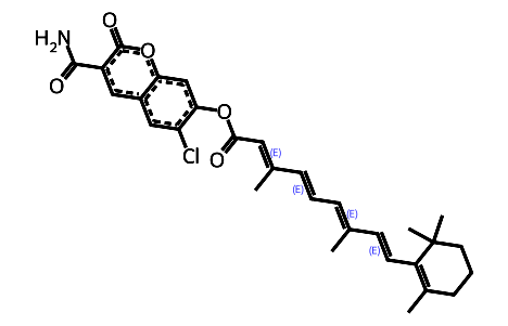 CC1=C(/C=C/C(C)=C/C=C/C(C)=C/C(=O)Oc2cc3oc(=O)c(C(N)=O)cc3cc2Cl)C(C)(C)CCC1